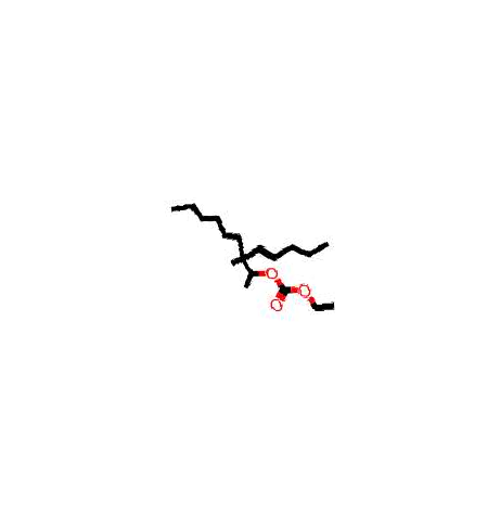 CCCCCCC(C)(CCCCC)C(C)OC(=O)OCC